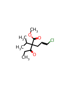 CCC(=O)C(C/C=C/Cl)(C(=O)OC)C(C)C